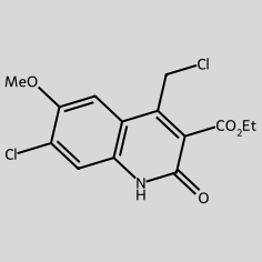 CCOC(=O)c1c(CCl)c2cc(OC)c(Cl)cc2[nH]c1=O